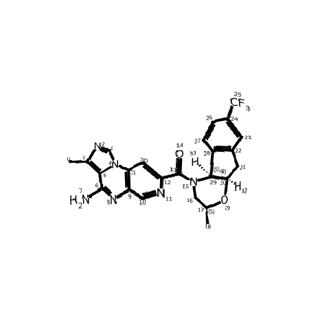 Cc1ncn2c1c(N)nc1cnc(C(=O)N3C[C@H](C)O[C@@H]4Cc5cc(C(F)(F)F)ccc5[C@@H]43)cc12